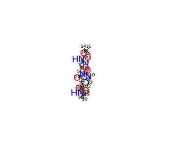 Cn1c(=O)n(Cc2cc(NC(=O)OC(C)(C)C)no2)c(=O)c2cc(S(=O)(=O)NC3(C)CC3)ccc21